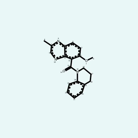 COc1ccc2nc(C)cnc2c1C(=O)N1CCCc2ccccc21